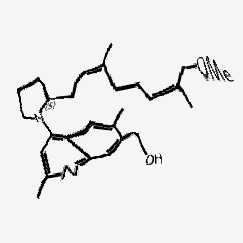 COCC(C)=CCCC(C)=CC[C@@H]1CCCN1c1cc(C)nc2cc(CO)c(C)cc12